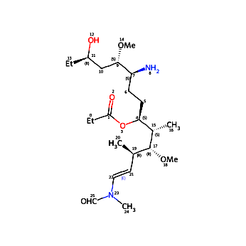 CCC(=O)O[C@@H](CC[C@H](N)[C@H](C[C@H](O)CC)OC)[C@H](C)[C@H](OC)[C@H](C)/C=C/N(C)C=O